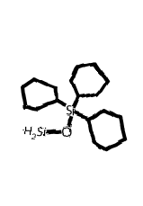 [SiH2]O[Si](C1CCCCC1)(C1CCCCC1)C1CCCCC1